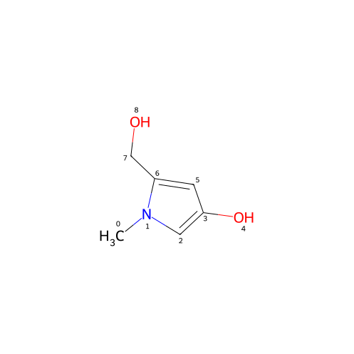 Cn1cc(O)cc1CO